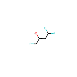 [O]C(CF)CC(F)F